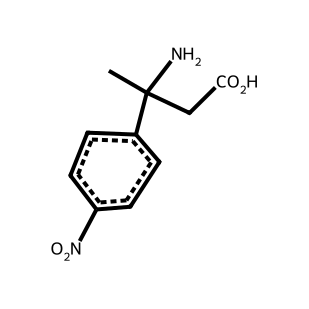 CC(N)(CC(=O)O)c1ccc([N+](=O)[O-])cc1